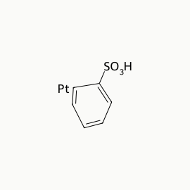 O=S(=O)(O)c1ccccc1.[Pt]